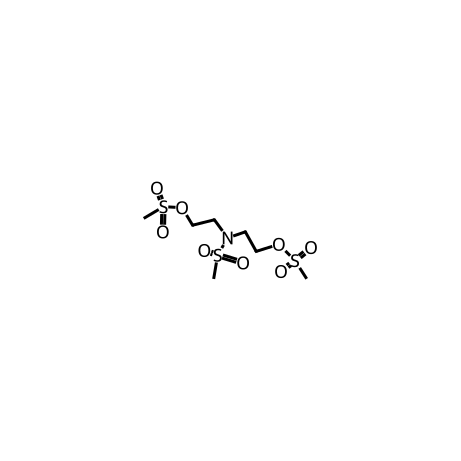 CS(=O)(=O)OCCN(CCOS(C)(=O)=O)S(C)(=O)=O